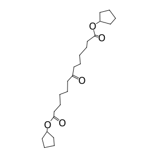 O=C(CCCCCC(=O)OC1CCCC1)CCCCCC(=O)OC1CCCC1